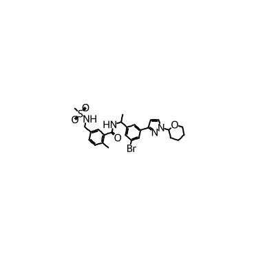 Cc1ccc(CNS(C)(=O)=O)cc1C(=O)NC(C)c1cc(Br)cc(-c2ccn(C3CCCCO3)n2)c1